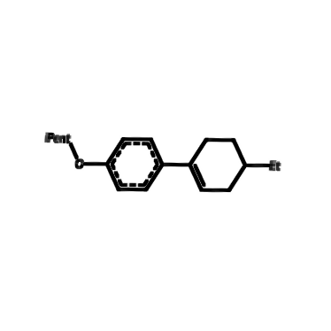 CCCC(C)Oc1ccc(C2=CCC(CC)CC2)cc1